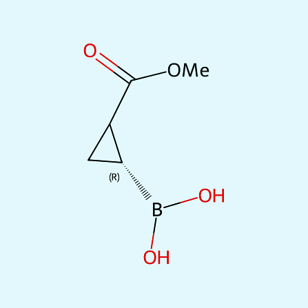 COC(=O)C1C[C@H]1B(O)O